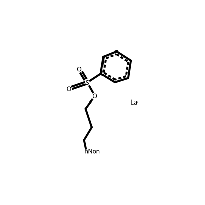 CCCCCCCCCCCCOS(=O)(=O)c1ccccc1.[La]